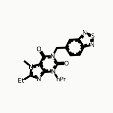 CCCn1c(=O)n(Cc2ccc3nsnc3c2)c(=O)c2c1nc(CC)n2C